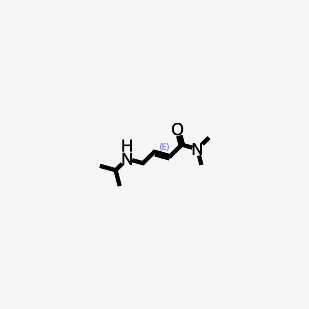 CC(C)NC/C=C/C(=O)N(C)C